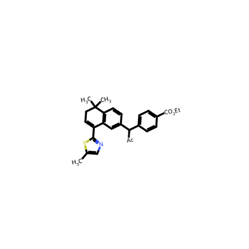 CCOC(=O)c1ccc(C(C(C)=O)c2ccc3c(c2)C(c2ncc(C)s2)=CCC3(C)C)cc1